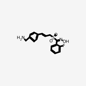 NCc1ccc(C=CCS(=O)(=O)C(=NO)c2ccccc2F)cc1